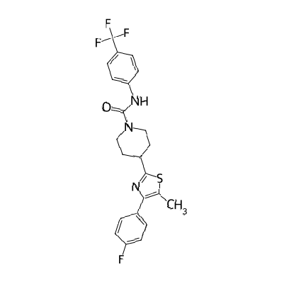 Cc1sc(C2CCN(C(=O)Nc3ccc(C(F)(F)F)cc3)CC2)nc1-c1ccc(F)cc1